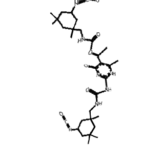 Cc1[nH]c(NC(=O)NCC2(C)CC(N=C=O)CC(C)(C)C2)nc(=O)c1C(C)OC(=O)NCC1(C)CC(N=C=O)CC(C)(C)C1